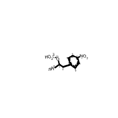 CCCC(Cc1ccc([N+](=O)[O-])cc1)OC(=O)O